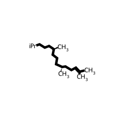 CC(C)=CCC[C@H](C)CCC[C@H](C)CCCC(C)C